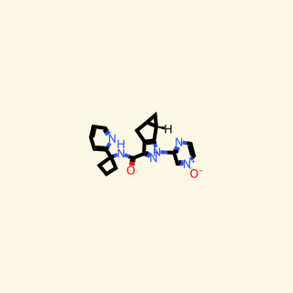 O=C(NC1(c2ccccn2)CCC1)c1nn(-c2c[n+]([O-])ccn2)c2c1CC1C[C@H]21